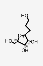 OCCC[C@@H]1O[C@H](CO)[C@@H](O)[C@@H]1O